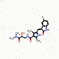 Cc1[nH]c(/C=C2\C(=O)Nc3ccc(F)cc32)c(C)c1C(=O)NC[C@H](O)C(=O)N(C)C